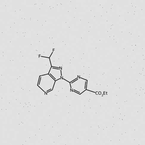 CCOC(=O)c1cnc(-n2nc(C(F)F)c3ccncc32)nc1